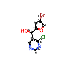 OC(c1cc(Br)co1)c1cncnc1Cl